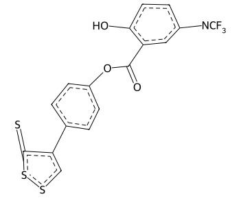 O=C(Oc1ccc(-c2cssc2=S)cc1)c1cc(NC(F)(F)F)ccc1O